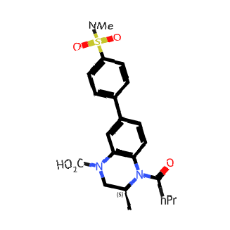 CCCC(=O)N1c2ccc(-c3ccc(S(=O)(=O)NC)cc3)cc2N(C(=O)O)C[C@@H]1C